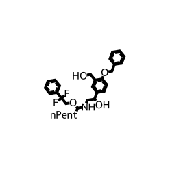 CCCCCC(NCC(O)c1ccc(OCc2ccccc2)c(CO)c1)OCC(F)(F)c1ccccc1